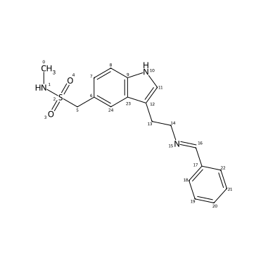 CNS(=O)(=O)Cc1ccc2[nH]cc(CCN=Cc3ccccc3)c2c1